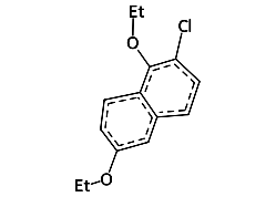 CCOc1ccc2c(OCC)c(Cl)ccc2c1